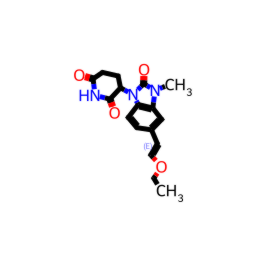 CCO/C=C/c1ccc2c(c1)n(C)c(=O)n2C1CCC(=O)NC1=O